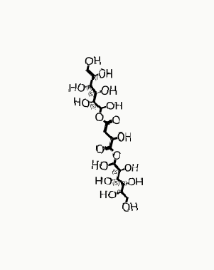 O=C(CC(O)C(=O)OC(O)[C@@H](O)[C@@H](O)[C@H](O)[C@H](O)CO)OC(O)[C@@H](O)[C@@H](O)[C@H](O)[C@H](O)CO